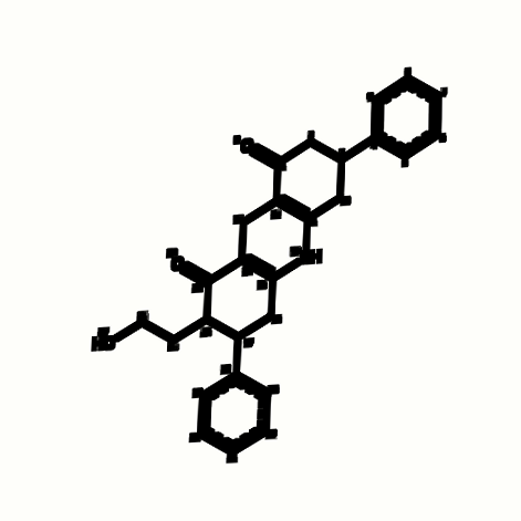 O=C1CC(c2ccccc2)CC2=C1CC1=C(CC(c3ccccc3)C(CCO)C1=O)N2